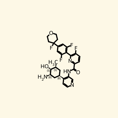 C[C@H]1C[C@@H](c2ccncc2NC(=O)c2ccc(F)c(-c3c(F)cc(C4(F)CCOCC4)cc3F)n2)C[C@@H](N)[C@H]1O